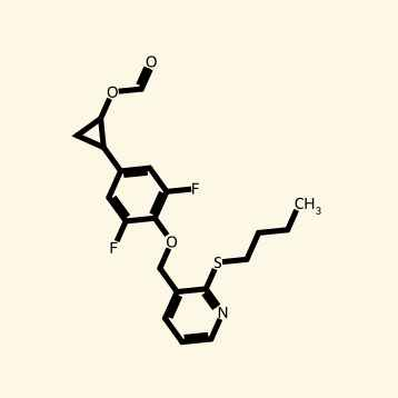 CCCCSc1ncccc1COc1c(F)cc(C2CC2OC=O)cc1F